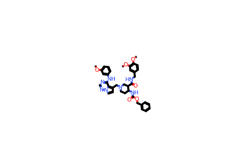 COc1cccc(Nc2ncnn3ccc(CN4CCC(NC(=O)OCc5ccccc5)C(C(=O)NCc5ccc(OC)c(OC)c5)C4)c23)c1